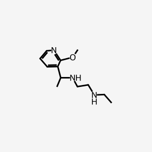 CCNCCNC(C)c1cccnc1OC